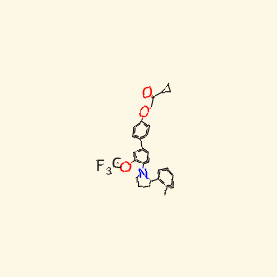 Cc1ccccc1C1CCCN1c1ccc(-c2ccc(OCC(=O)C3CC3)cc2)cc1OC(F)(F)F